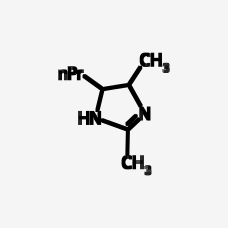 CCCC1NC(C)=NC1C